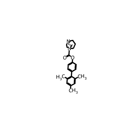 Cc1cc(C)c(-c2ccc(OC(=O)N3CCN4CCC3CC4)cc2)c(C)c1